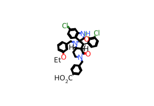 CCOc1cccc(CN2[C@H]3CCN(Cc4ccc(C(=O)O)cc4)C(=O)[C@H]3[C@H](c3cccc(Cl)c3F)[C@]23C(=O)Nc2cc(Cl)ccc23)c1